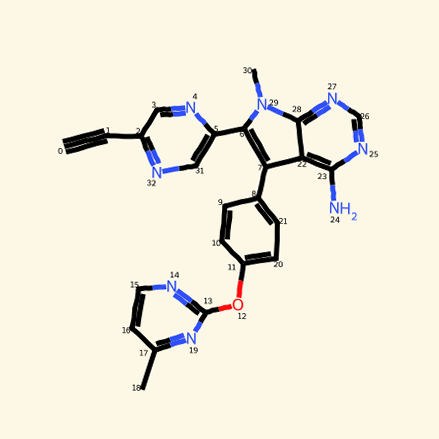 C#Cc1cnc(-c2c(-c3ccc(Oc4nccc(C)n4)cc3)c3c(N)ncnc3n2C)cn1